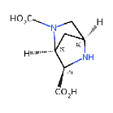 O=C(O)[C@@H]1N[C@H]2C[C@@H]1N(C(=O)O)C2